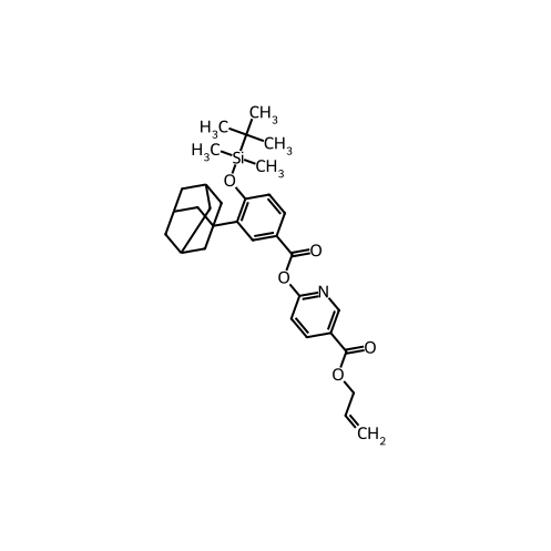 C=CCOC(=O)c1ccc(OC(=O)c2ccc(O[Si](C)(C)C(C)(C)C)c(C34CC5CC(CC(C5)C3)C4)c2)nc1